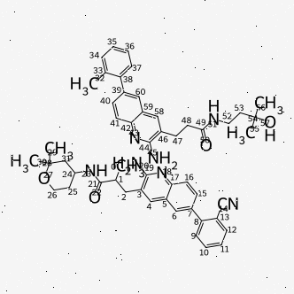 CC(Cc1cc2cc(-c3ccccc3C#N)ccc2nc1N)C(=O)NC1CCOC(C)(C)C1.Cc1ccccc1-c1ccc2nc(N)c(CCC(=O)NCCC(C)(C)O)cc2c1